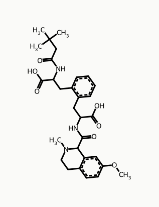 COc1ccc2c(c1)C(C(=O)NC(Cc1ccccc1CC(NC(=O)CC(C)(C)C)C(=O)O)C(=O)O)N(C)CC2